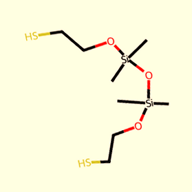 C[Si](C)(OCCS)O[Si](C)(C)OCCS